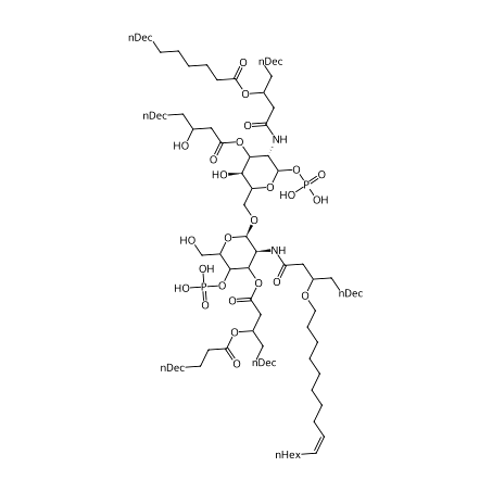 CCCCCC/C=C\CCCCCCCCOC(CCCCCCCCCCC)CC(=O)N[C@H]1C(OC(=O)CC(CCCCCCCCCCC)OC(=O)CCCCCCCCCCCC)C(OP(=O)(O)O)C(CO)O[C@H]1OCC1OC(OP(=O)(O)O)[C@@H](NC(=O)CC(CCCCCCCCCCC)OC(=O)CCCCCCCCCCCCCCC)C(OC(=O)CC(O)CCCCCCCCCCC)[C@@H]1O